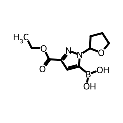 CCOC(=O)c1cc(B(O)O)n(C2CCCO2)n1